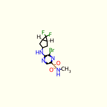 CNS(=O)(=O)c1cnc(NC2C[C@@H]3[C@H](C2)C3(F)F)c(Br)n1